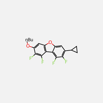 CCCCOc1cc2oc3cc(C4CC4)c(F)c(F)c3c2c(F)c1F